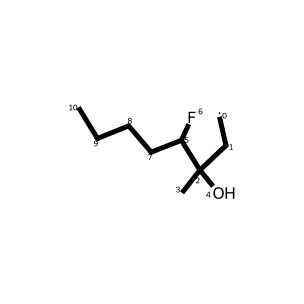 [CH2]CC(C)(O)C(F)CCCC